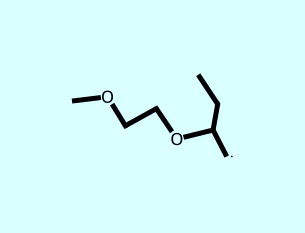 [CH2]C(CC)OCCOC